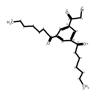 CCCCCCC(=O)c1cc(C(=O)CBr)cc(C(=O)CCCCCC)c1